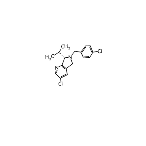 CC(C)[C@H]1c2ncc(Cl)cc2CN1Cc1ccc(Cl)cc1